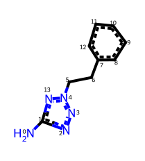 Nc1nnn(CCc2ccccc2)n1